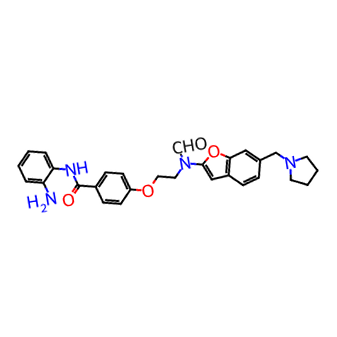 Nc1ccccc1NC(=O)c1ccc(OCCN(C=O)c2cc3ccc(CN4CCCC4)cc3o2)cc1